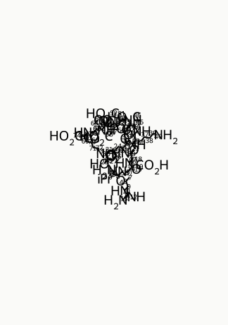 CC(C)[C@H](N)C(=O)N[C@@H](CCCNC(=N)N)C(=O)N[C@@H](CC(=O)O)C(=O)N[C@@H](Cc1ccc(O)cc1)C(=O)N[C@@H](CCCCN)C(=O)N[C@@H](CC(=O)O)C(=O)N[C@@H](CC(=O)O)C(=O)N[C@@H](CC(=O)O)C(=O)N[C@@H](CC(=O)O)C(=O)N[C@@H](CCCCN)C(=O)O